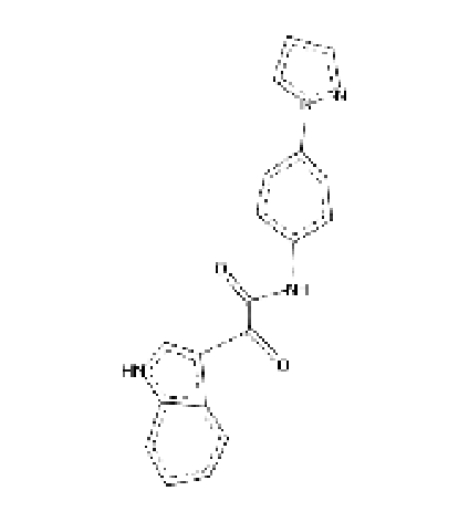 O=C(Nc1ccc(-n2cccn2)cc1)C(=O)c1c[nH]c2ccccc12